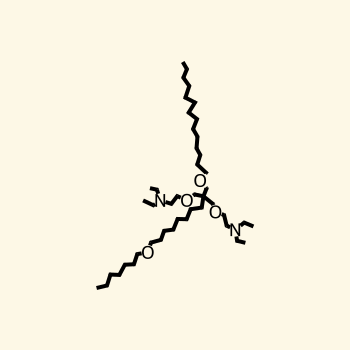 CCCCCCCCCCCCCCOCC(CCCCCCCCOCCCCCCC)(COCCN(CC)CC)COCCN(CC)CC